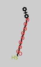 CC(C)(c1ccccc1)c1ccc(OCCOCCOCCOCCOCCOCCOCCOC(=O)CCS)cc1